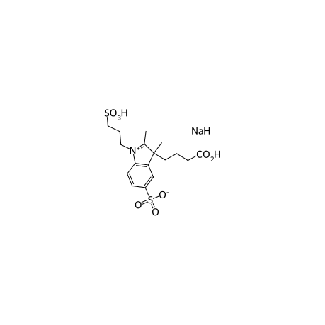 CC1=[N+](CCCS(=O)(=O)O)c2ccc(S(=O)(=O)[O-])cc2C1(C)CCCC(=O)O.[NaH]